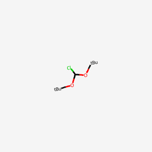 CC(C)(C)OC(Cl)OC(C)(C)C